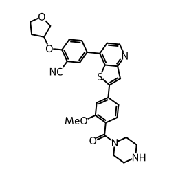 COc1cc(-c2cc3nccc(-c4ccc(OC5CCOC5)c(C#N)c4)c3s2)ccc1C(=O)N1CCNCC1